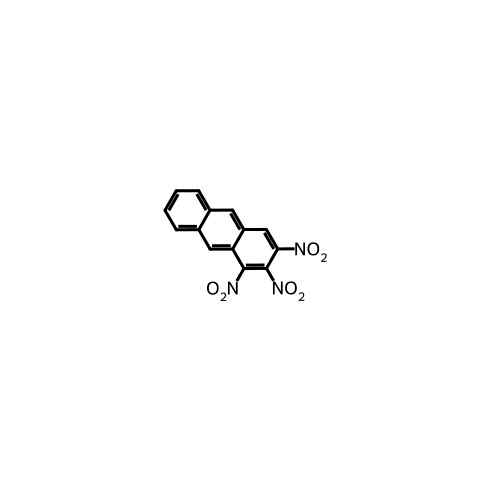 O=[N+]([O-])c1cc2cc3ccccc3cc2c([N+](=O)[O-])c1[N+](=O)[O-]